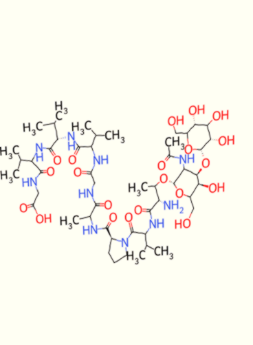 CC(=O)NC1[C@@H](OC(C)[C@H](N)C(=O)NC(C(=O)N2CCC[C@H]2C(=O)NC(C)C(=O)NCC(=O)NC(C(=O)N[C@H](C(=O)NC(C(=O)NCC(=O)O)C(C)C)C(C)C)C(C)C)C(C)C)OC(CO)[C@H](O)[C@@H]1O[C@@H]1OC(CO)[C@H](O)C(O)[C@@H]1O